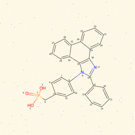 O=P(O)(O)Cc1ccc(-n2c(-c3ccccc3)nc3c4ccccc4c4ccccc4c32)cc1